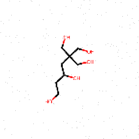 OCCC(O)CC(CO)(CO)CO